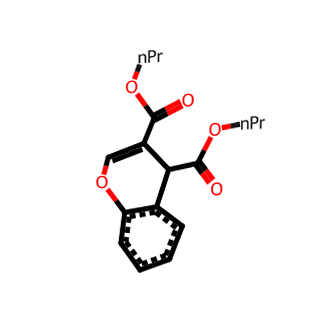 CCCOC(=O)C1=COc2ccccc2C1C(=O)OCCC